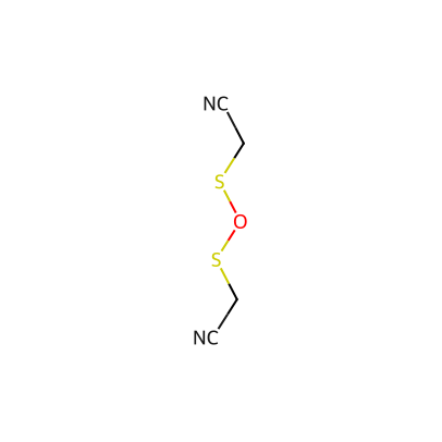 N#CCSOSCC#N